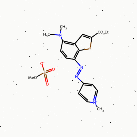 CCOC(=O)c1cc2c(N(C)C)ccc(N=Nc3cc[n+](C)cc3)c2s1.COS(=O)(=O)[O-]